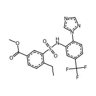 CCc1ccc(C(=O)OC)cc1S(=O)(=O)Nc1cc(C(F)(F)F)ccc1-n1cncn1